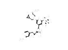 COCCN(CC1CC1C)c1cc(-c2nnc(C(C)(N)Cc3ccnc(OC)c3)o2)c(Cl)c(N(C)S(C)(=O)=O)n1